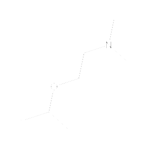 [CH2]C(C)OCCN(C)C